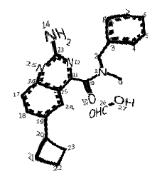 CN(Cc1ccccc1)C(=O)c1nc(N)nc2ccc(C3CCC3)cc12.O=CO